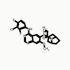 C=CC(=O)N1C2CCC1CC(Nc1cc3c(Nc4ccc(F)c(Cl)c4F)ncnc3cc1OC)C2